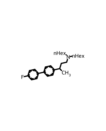 CCCCCCN(CCCCCC)CCC(C)c1ccc(-c2ccc(F)cc2)cc1